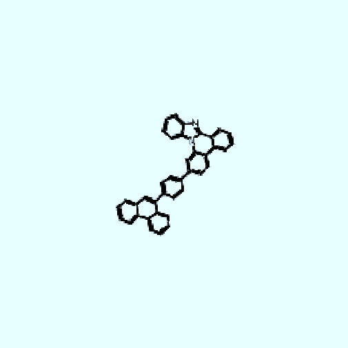 c1ccc2c(c1)cc(-c1ccc(-c3ccc4c5ccccc5c5nc6ccccc6n5c4c3)cc1)c1ccccc12